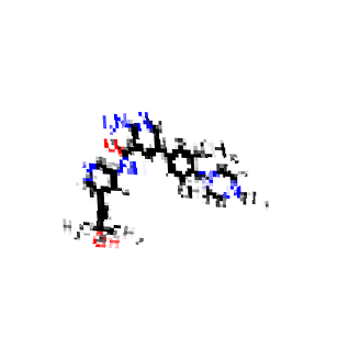 Cc1cc(-c2cnc(N)c(C(=O)Nc3cncc(C#CC(C)(C)O)c3)c2)cc(C)c1N1CCN(C)CC1